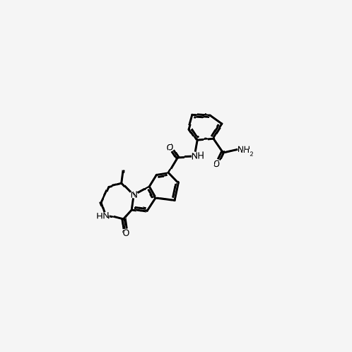 CC1CCNC(=O)c2cc3ccc(C(=O)Nc4ccccc4C(N)=O)cc3n21